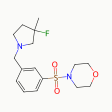 CC1(F)CCN(Cc2cccc(S(=O)(=O)N3CCOCC3)c2)C1